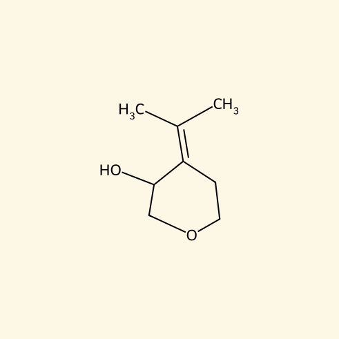 CC(C)=C1CCOCC1O